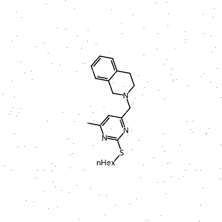 CCCCCCSc1nc(C)cc(CN2CCc3ccccc3C2)n1